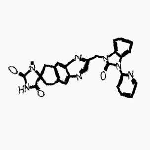 CN1C(=O)NC(=O)C12Cc1cc3ncc(Cn4c(=O)n(-c5ccccn5)c5ccccc54)nc3cc1C2